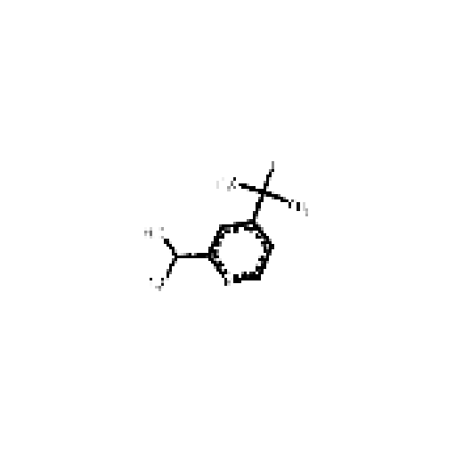 CC(C)c1cc(C(C)(C)F)ccn1